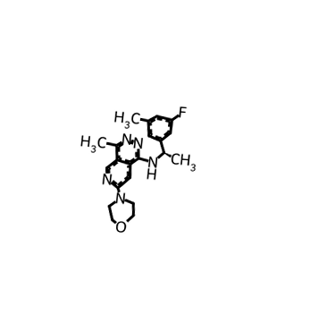 Cc1cc(F)cc([C@@H](C)Nc2nnc(C)c3cnc(N4CCOCC4)cc23)c1